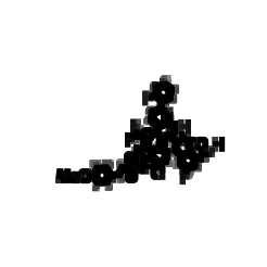 COc1ccc(CCS(=O)(=O)Nc2nn(CC(F)F)c3c(-n4c(C(Cc5cc(F)cc(F)c5)NC(=O)O)nc5nc(-c6ccccc6F)ccc5c4=O)ccc(Cl)c23)cc1